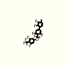 Cc1ccc(-c2cc(F)c(C(F)(F)Oc3cc(F)c(C(F)(F)F)c(F)c3)c(F)c2)c(F)c1F